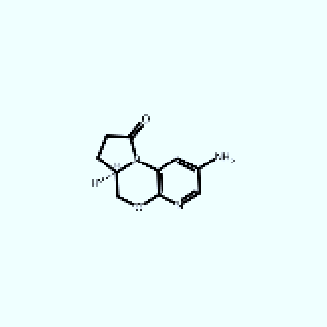 Nc1cnc2c(c1)N1C(=O)CC[C@@H]1CO2